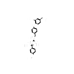 CCCc1cc(C(O)(C(F)(F)F)C(F)(F)F)ccc1Oc1ccc(CNC(=O)NC(C)(C=O)c2ccc(OC(C)C)cc2)cc1